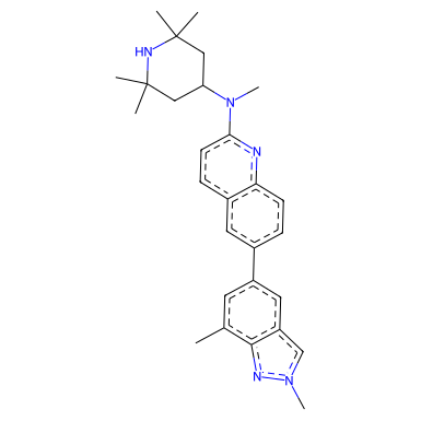 Cc1cc(-c2ccc3nc(N(C)C4CC(C)(C)NC(C)(C)C4)ccc3c2)cc2cn(C)nc12